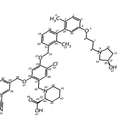 Cc1ccc(OCCCN2CC[C@@H](O)C2)cc1-c1cccc(COc2cc(OCc3cncc(C#N)c3)c(CN3CCCC[C@H]3C(=O)O)cc2Cl)c1C